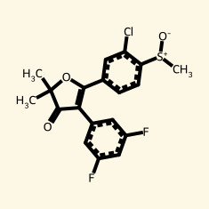 C[S+]([O-])c1ccc(C2=C(c3cc(F)cc(F)c3)C(=O)C(C)(C)O2)cc1Cl